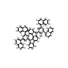 C1=C(c2cccc3ccccc23)NC(n2c3ccccc3c3c4c(ccc32)c2ccccc2n4-c2nc(-c3cccc4ccccc34)cc(-c3cccc4ccccc34)n2)N=C1c1cccc2ccccc12